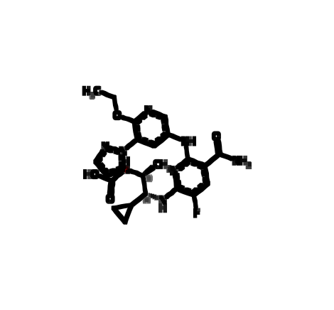 CCOc1ncc(Nc2nc(N[C@H](C3CC3)[C@H](C)NC(=O)O)c(F)cc2C(N)=O)cc1-n1cccn1